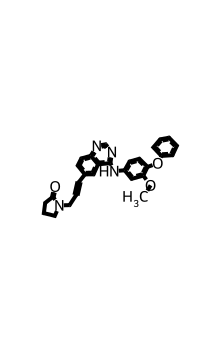 COc1cc(Nc2ncnc3ccc(C#CCN4CCCC4=O)cc23)ccc1Oc1ccccc1